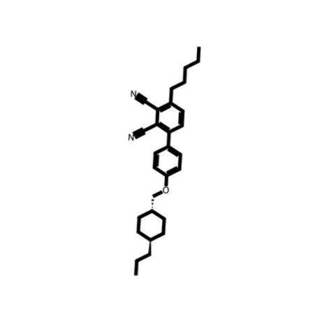 CCCCCc1ccc(-c2ccc(OC[C@H]3CC[C@H](CCC)CC3)cc2)c(C#N)c1C#N